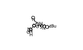 CC(C)(C)[C@H]1CCc2nc3sc(C(=O)NC(CCN4CCCCC4)c4ccc(-c5cnc(=O)[nH]c5)cc4)cc3cc2C1